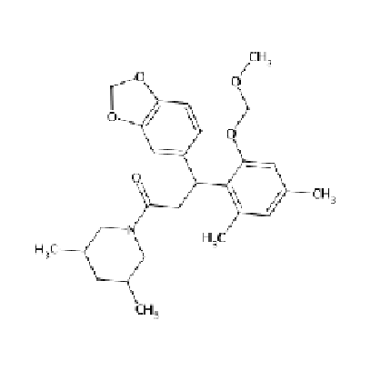 COCOc1cc(C)cc(C)c1C(CC(=O)N1CC(C)CC(C)C1)c1ccc2c(c1)OCO2